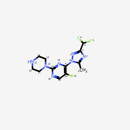 Cc1nc(C(F)F)nn1-c1nc(N2CCNCC2)ncc1F